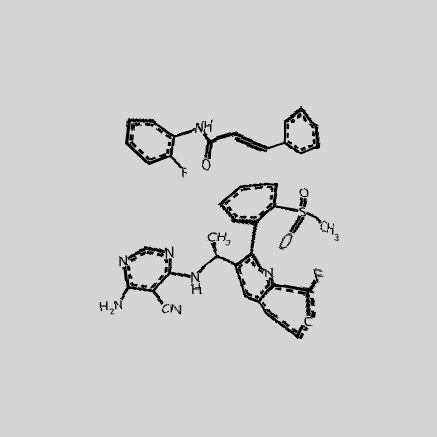 C[C@H](Nc1ncnc(N)c1C#N)c1cc2cccc(F)c2nc1-c1ccccc1S(C)(=O)=O.O=C(C=Cc1ccccc1)Nc1ccccc1F